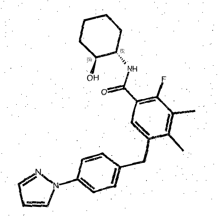 Cc1c(Cc2ccc(-n3cccn3)cc2)cc(C(=O)N[C@H]2CCCC[C@@H]2O)c(F)c1C